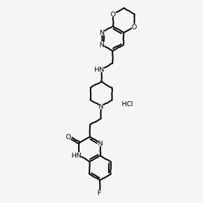 Cl.O=c1[nH]c2cc(F)ccc2nc1CCN1CCC(NCc2cc3c(nn2)OCCO3)CC1